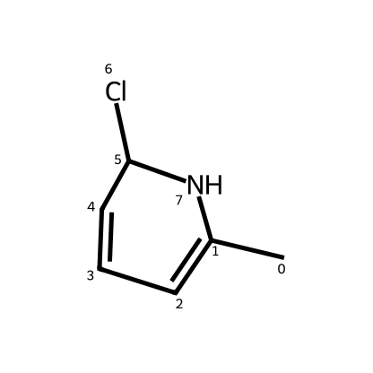 CC1=CC=CC(Cl)N1